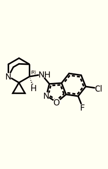 Fc1c(Cl)ccc2c(N[C@@H]3C4CCN(CC4)C34CC4)noc12